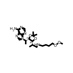 COOCCCCNCC(C)[C@H]1OC(C)(C)O[C@H]1C(C)n1cnc2c(N)ncnc21